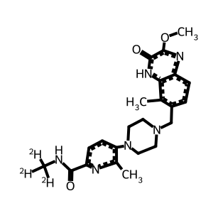 [2H]C([2H])([2H])NC(=O)c1ccc(N2CCN(Cc3ccc4nc(OC)c(=O)[nH]c4c3C)CC2)c(C)n1